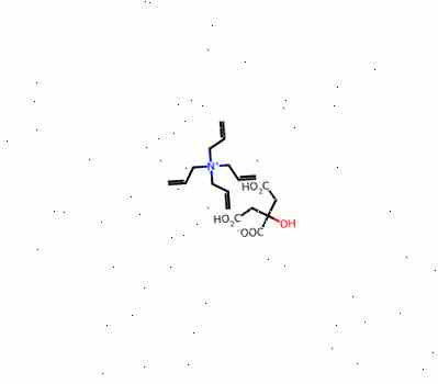 C=CC[N+](CC=C)(CC=C)CC=C.O=C(O)CC(O)(CC(=O)O)C(=O)[O-]